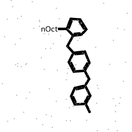 CCCCCCCCc1ccccc1Cc1ccc(Cc2cccc(C)c2)cc1